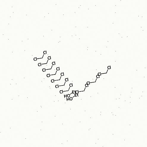 CCO.CCO.ClCCl.ClCCl.ClCCl.ClCCl.ClCCl.ClCCl.ClCCl.ClCCl.ClCCl.ClCCl